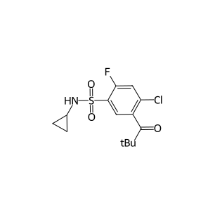 CC(C)(C)C(=O)c1cc(S(=O)(=O)NC2CC2)c(F)cc1Cl